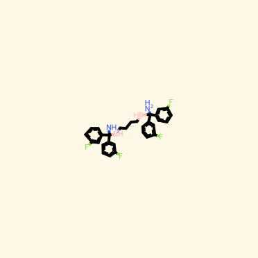 NC(BCCCCBC(N)(c1cccc(F)c1)c1cccc(F)c1)(c1cccc(F)c1)c1cccc(F)c1